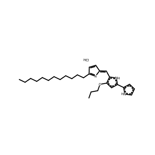 CCCCCCCCCCCCC1=NC(=Cc2[nH]c(-c3ccc[nH]3)cc2OCCC)C=C1.Cl